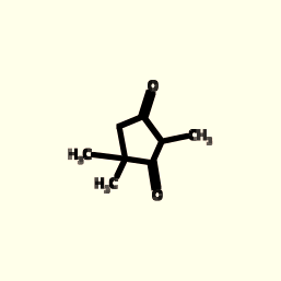 CC1C(=O)CC(C)(C)C1=O